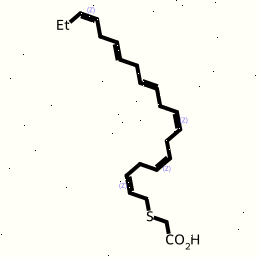 CC/C=C\CC=CCC=CC/C=C\C/C=C\C/C=C\CSCC(=O)O